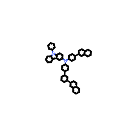 c1ccc(-n2c3ccccc3c3cc(N(c4ccc(-c5cccc(-c6ccc7ccccc7c6)c5)cc4)c4ccc(-c5ccc6ccccc6c5)cc4)ccc32)cc1